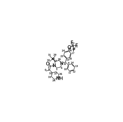 CC(C(=O)N1CCN(C(c2ccccc2)c2ccc(OC(F)(F)F)cc2)C[C@@H]1C(C)(C)C)C1CCNCC1